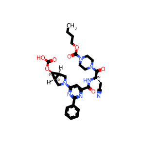 CCCCOC(=O)N1CCN(C(=O)[C@H](CC#N)NC(=O)c2cc(N3C[C@@H]4[C@H](C3)[C@@H]4OC(=O)O)nc(-c3ccccc3)n2)CC1